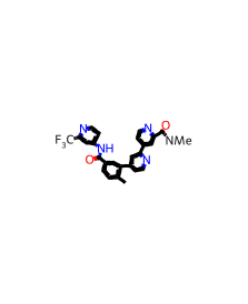 CNC(=O)c1cc(-c2cc(-c3cc(C(=O)Nc4ccnc(C(F)(F)F)c4)ccc3C)ccn2)ccn1